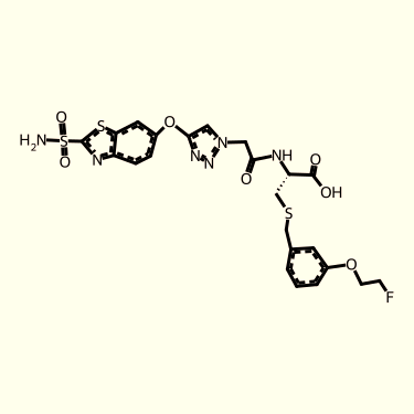 NS(=O)(=O)c1nc2ccc(Oc3cn(CC(=O)N[C@@H](CSCc4cccc(OCCF)c4)C(=O)O)nn3)cc2s1